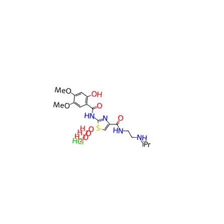 COc1cc(O)c(C(=O)Nc2nc(C(=O)NCCNC(C)C)cs2)cc1OC.Cl.O.O.O